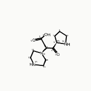 O=C(O)C(C(=O)[C@H]1CCCN1)N1CCNCC1